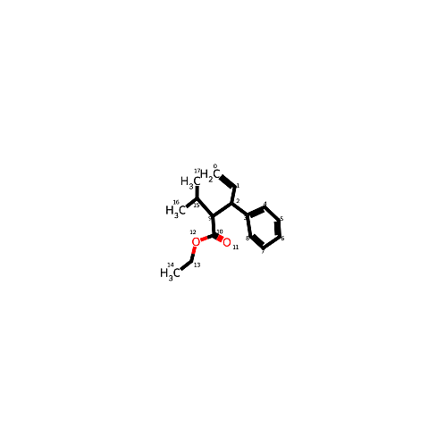 C=CC(c1ccccc1)C(C(=O)OCC)C(C)C